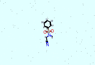 CN(CC#N)S(=O)(=O)c1ccccc1